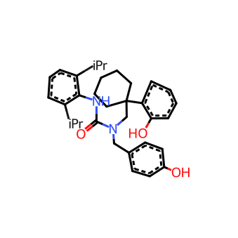 CC(C)c1cccc(C(C)C)c1NC(=O)N(Cc1ccc(O)cc1)CC1(c2ccccc2O)CCCCC1